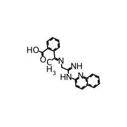 C/C(=N\CC(=N)Nc1ccc2ccccc2n1)c1ccccc1C(=O)O